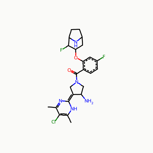 CC1=N/C(=C2\CN(C(=O)c3ccc(F)cc3OC3CC4CCC(N4)C3F)CC2N)NC(C)=C1Cl